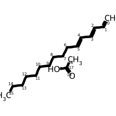 C=CC=CC=CCCCCCCCCCC.CC(=O)O